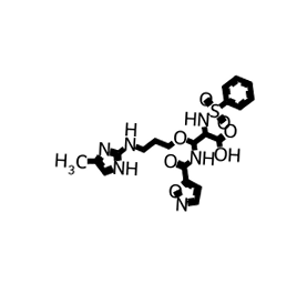 Cc1c[nH]c(NCCCOC(NC(=O)c2ccno2)C(NS(=O)(=O)c2ccccc2)C(=O)O)n1